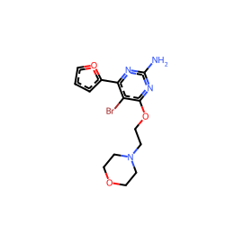 Nc1nc(OCCN2CCOCC2)c(Br)c(-c2ccco2)n1